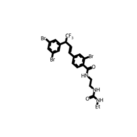 CCNC(=O)NCCNC(=O)c1ccc(/C=C/C(c2cc(Br)cc(Br)c2)C(F)(F)F)cc1Br